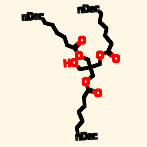 CCCCCCCCCCCCCCCC(=O)OCC(CO)(COC(=O)CCCCCCCCCCCCCCC)COC(=O)CCCCCCCCCCCCCCC